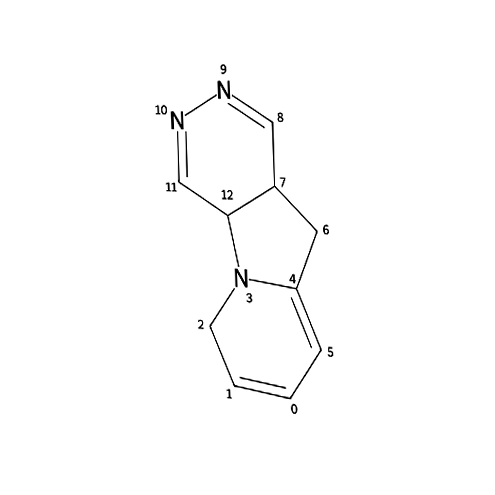 C1=CCN2C(=C1)CC1C=NN=CC12